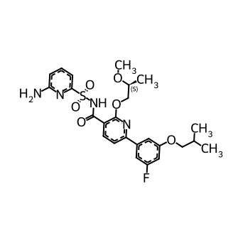 CO[C@@H](C)COc1nc(-c2cc(F)cc(OCC(C)C)c2)ccc1C(=O)NS(=O)(=O)c1cccc(N)n1